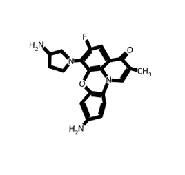 Cc1cn2c3c(c(N4CCC(N)C4)c(F)cc3c1=O)Oc1cc(N)ccc1-2